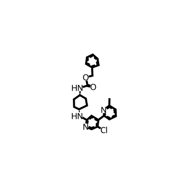 Cc1cccc(-c2cc(N[C@H]3CC[C@H](NC(=O)OCc4ccccc4)CC3)ncc2Cl)n1